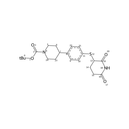 CC(C)(C)OC(=O)N1CCC(c2ccc(SC3CCC(=O)NC3=O)cc2)CC1